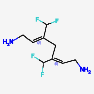 NC/C=C(/C/C(=C\CN)C(F)F)C(F)F